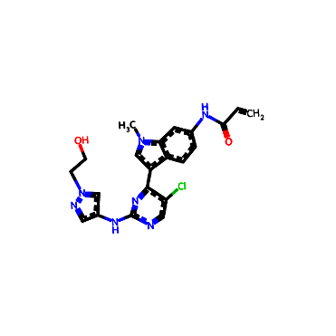 C=CC(=O)Nc1ccc2c(-c3nc(Nc4cnn(CCO)c4)ncc3Cl)cn(C)c2c1